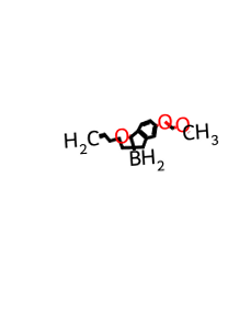 BC1(CCCC=C)Cc2cc(OCOC)ccc2C1=O